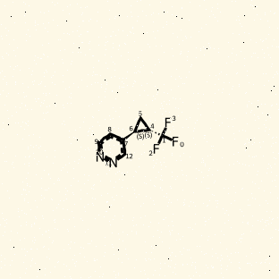 FC(F)(F)[C@H]1C[C@@H]1c1ccnnc1